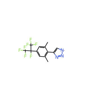 Cc1cc(C(F)(C(F)(F)F)C(F)(F)F)cc(C)c1C1=C[N]N=N1